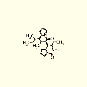 CCC(C)/C(c1cccn1C=O)=c1/c(C)c(C(C)CC)c2cccn2c1=O